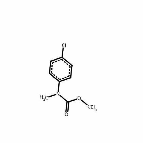 CN(C(=O)OC(Cl)(Cl)Cl)c1ccc(Cl)cc1